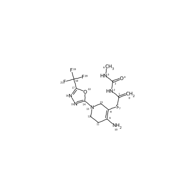 C=C(NC(=O)NC)SC1=C(N)CCN(c2nnc(C(F)(F)F)o2)C1